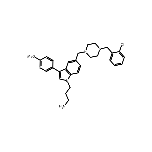 COc1ccc(-c2cn(CCCN)c3ccc(CN4CCN(Cc5ccccc5Cl)CC4)cc23)cn1